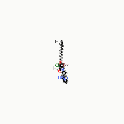 CCCCCCCCCCCCCCOc1ccc(CN(C(C)=O)c2ccc(Cc3[nH]cc4cccc[n+]34)cc2)cc1Cl.[Br-]